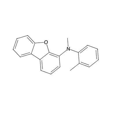 Cc1ccccc1N(C)c1cccc2c1oc1ccccc12